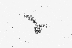 CNC[C@@H](CCN1CC(N2CCC(O)CC2)C1)c1ccc(Cl)c(Cl)c1